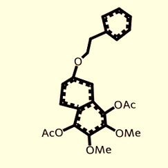 COc1c(OC)c(OC(C)=O)c2cc(OCCc3ccccc3)ccc2c1OC(C)=O